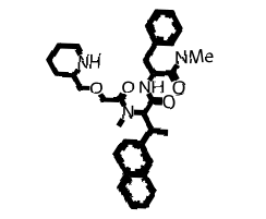 CNC(=O)C(Cc1ccccc1)NC(=O)C(C(C)c1ccc2ccccc2c1)N(C)C(=O)COCC1CCCCN1